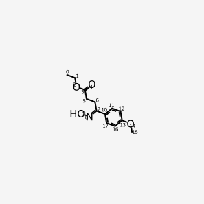 CCOC(=O)CCC(=NO)c1ccc(OC)cc1